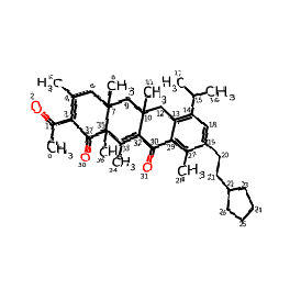 CC(=O)C1=C(C)CC2(C)CC3(C)Cc4c(C(C)C)cc(CCC5CCCC5)c(C)c4C(=O)C3=C(C)C2(C)C1=O